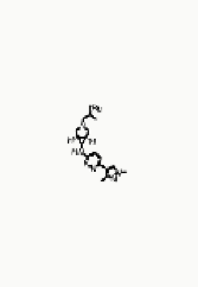 Cc1nn(C)cc1-c1ccc(NC2[C@@H]3CN(CC(C)C(C)(C)C)C[C@@H]23)nn1